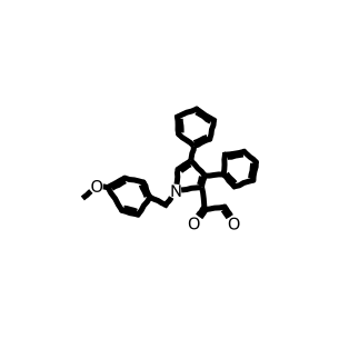 COc1ccc(Cn2cc(-c3ccccc3)c(-c3ccccc3)c2C(=O)C=O)cc1